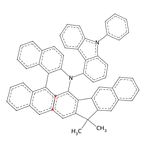 CC1(C)c2cc3ccccc3cc2-c2c(N(c3ccc4ccccc4c3-c3cccc4ccccc34)c3cccc4c3c3ccccc3n4-c3ccccc3)cccc21